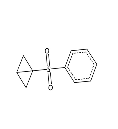 O=S(=O)(c1ccccc1)C12CC1C2